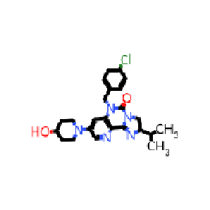 CC(C)C1CN2C(=O)N(Cc3ccc(Cl)cc3)c3cc(N4CCC(O)CC4)cnc3C2=N1